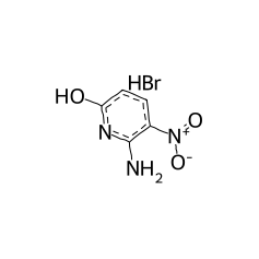 Br.Nc1nc(O)ccc1[N+](=O)[O-]